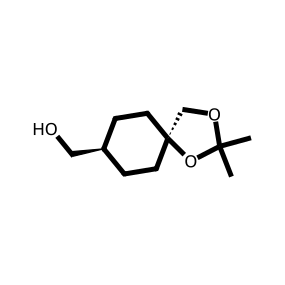 CC1(C)OC[C@]2(CC[C@H](CO)CC2)O1